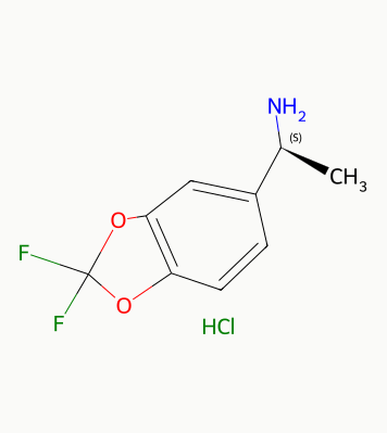 C[C@H](N)c1ccc2c(c1)OC(F)(F)O2.Cl